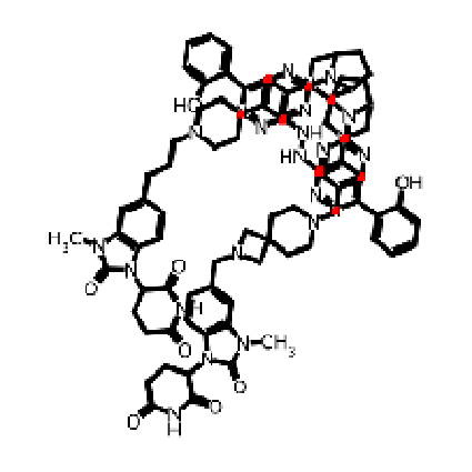 Cn1c(=O)n(C2CCC(=O)NC2=O)c2ccc(CCCN3CCC(c4cnc(N5C6CCC5CN(c5cc(-c7ccccc7O)nnc5NNc5nnc(-c7ccccc7O)cc5N5CC7CCC(C5)N7c5ncc(CN7CCC8(CC7)CN(Cc7ccc9c(c7)n(C)c(=O)n9C7CCC(=O)NC7=O)C8)cn5)C6)nc4)CC3)cc21